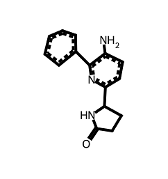 Nc1ccc(C2CCC(=O)N2)nc1-c1ccccc1